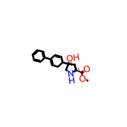 COC(=O)[C@@H]1C[C@@](O)(C2C=CC(c3ccccc3)=CC2)CN1